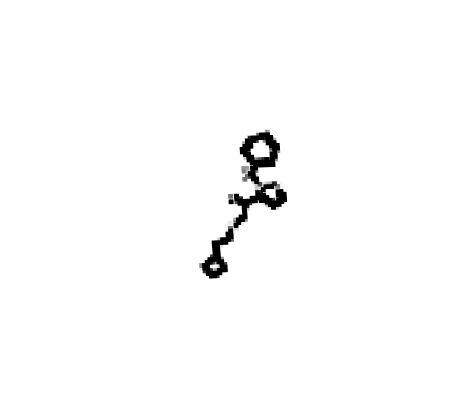 C[C@H](c1ccccc1)n1nccc1C(=O)COCCC1CCC1